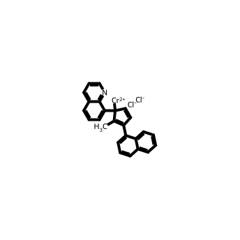 CC1=C(c2cccc3ccccc23)C=C[C]1([Cr+2])c1cccc2cccnc12.[Cl-].[Cl-]